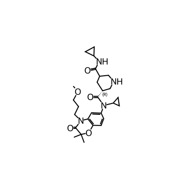 COCCCN1C(=O)C(C)(C)Oc2ccc(N(C(=O)[C@H]3CNCC(C(=O)NC4CC4)C3)C3CC3)cc21